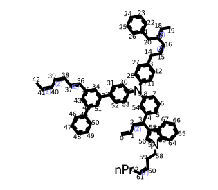 C=C/C=C(/c1cccc(N(c2ccc(C/C=C\C(=C/C)Cc3ccccc3)cc2)c2ccc(-c3cc(/C=C/C=C\C=C/C)cc(-c4ccccc4)c3)cc2)c1)c1cn(CC/C=C\CCC)c2ccccc12